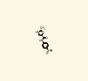 C[C@H]1NC[C@H](C(=O)Nc2ccc([N+](=O)[O-])cc2)O1